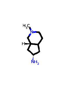 CN1CCC2C[C@H](N)C[C@@H]2C1